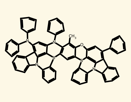 Cc1c2c(cc3c1N(c1ccccc1)c1cc(N(c4ccccc4)c4ccccc4)c4c5ccccc5n5c4c1B3c1ccccc1-5)B1c3ccccc3-n3c4ccccc4c4c(-c5ccccc5)cc(c1c43)O2